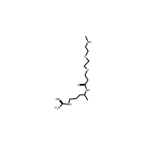 CNCCOCCOCCC(=O)NC(C)CCCNC(=N)N